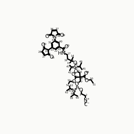 [C-]#[N+]CCOP(OCC(CO[Si](OC(C)(C)CCNC(=O)c1cc(C2C(=O)C=CC2=O)cc(N2C(=O)C=CC2=O)c1)(C(C)C)C(C)C)(C(=O)OCC)C(=O)OCC)N(C(C)C)C(C)C